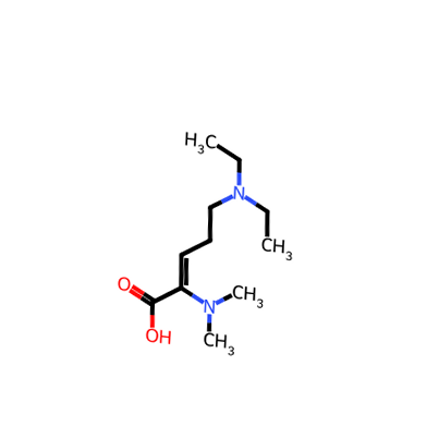 CCN(CC)CCC=C(C(=O)O)N(C)C